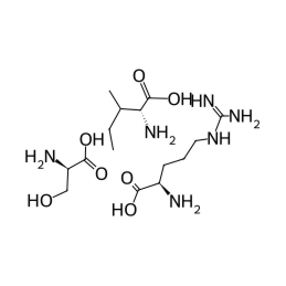 CCC(C)[C@@H](N)C(=O)O.N=C(N)NCCC[C@@H](N)C(=O)O.N[C@H](CO)C(=O)O